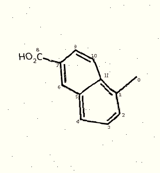 Cc1cccc2cc(C(=O)O)ccc12